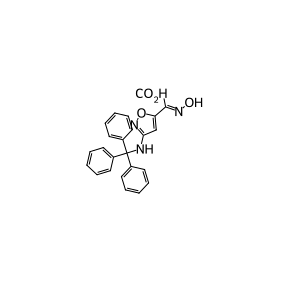 O=C(O)C(=NO)c1cc(NC(c2ccccc2)(c2ccccc2)c2ccccc2)no1